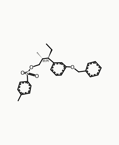 CC[C@@H](c1cccc(OCc2ccccc2)c1)[C@@H](C)COS(=O)(=O)c1ccc(C)cc1